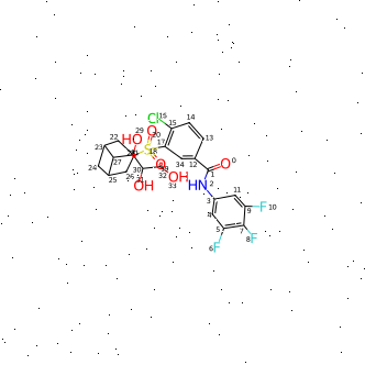 O=C(Nc1cc(F)c(F)c(F)c1)c1ccc(Cl)c(S(=O)(=O)C2CC3CC(C2)C3C(O)C(O)CO)c1